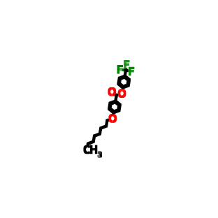 CCCCCCCCOc1ccc(C(=O)Oc2ccc(C(F)(F)F)cc2)cc1